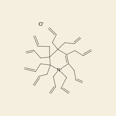 C=CCC1=C(CC=C)[N+](CC=C)(CC=C)C(CC=C)(CC=C)C(CC=C)(CC=C)C1(CC=C)CC=C.[Cl-]